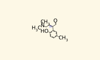 Cc1ccc(O)c(/C(C=O)=C\CN(C)C)c1